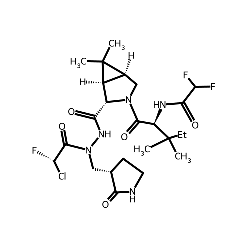 CCC(C)(C)[C@H](NC(=O)C(F)F)C(=O)N1C[C@H]2[C@@H]([C@H]1C(=O)NN(C[C@@H]1CCNC1=O)C(=O)[C@@H](F)Cl)C2(C)C